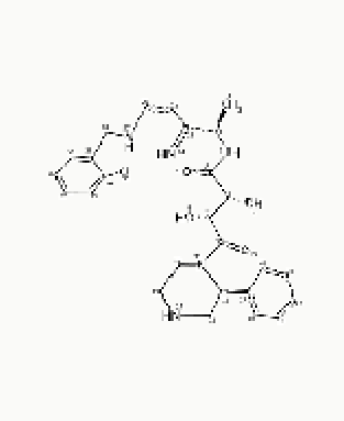 C[C@@H](NC(=O)[C@H](O)[C@@H](O)C(=O)N1CCNC[C@@H]1c1ccccc1)C(=N)/C=C\NCc1ccccc1Cl